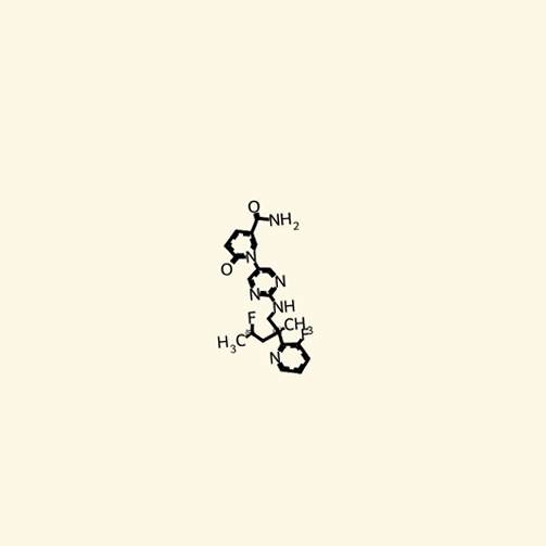 C[C@@H](F)C[C@](C)(CNc1ncc(-n2cc(C(N)=O)ccc2=O)cn1)c1ncccc1F